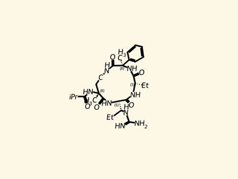 CCC(NC(=N)N)[C@@H]1NC(=O)[C@](C)(NC(=O)C(C)C)CCNC(=O)[C@@](C)(c2ccccc2)NC(=O)[C@H](CC)NC1=O